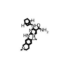 COc1cc2c(cc1Nc1ncc(C(N)=O)c(NC3C[C@@H]4CC[C@H]3C4)n1)CN(C)CC2